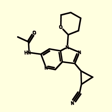 CC(=O)Nc1cc2c(cn1)c(C1CC1C#N)nn2C1CCCCO1